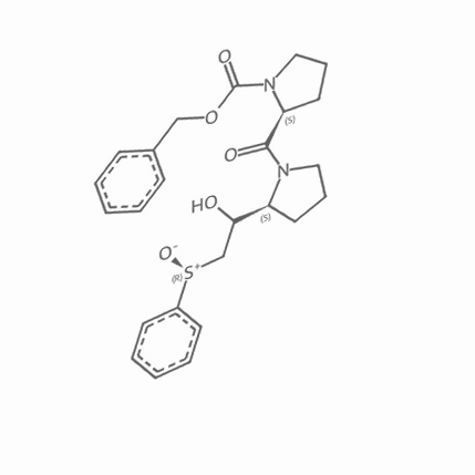 O=C(OCc1ccccc1)N1CCC[C@H]1C(=O)N1CCC[C@H]1C(O)C[S@+]([O-])c1ccccc1